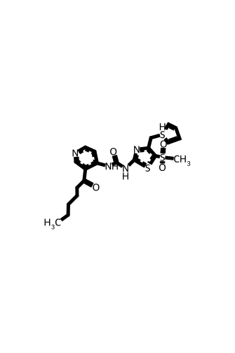 CCCCCC(=O)c1cnccc1NC(=O)Nc1nc(C[SH]2C=CC=C2)c(S(C)(=O)=O)s1